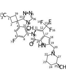 CC1CC(c2cc(F)cc(-n3cc(C(F)(F)F)c4cc(CN5CCC[C@H](C)C5)[nH]c4c3=O)c2)(c2nncn2C)C1